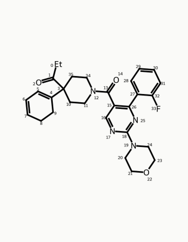 CCC(=O)C1(C2=CC=CCC2)CCN(C(=O)c2cnc(N3CCOCC3)nc2-c2ccccc2F)CC1